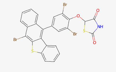 O=C1NC(=O)C(Oc2c(Br)cc(-c3c4ccccc4c(Br)c4sc5ccccc5c34)cc2Br)S1